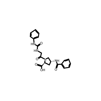 O=C(NCC(=O)N1C[C@H](NC(=O)c2ccccc2)C[C@H]1C(=O)O)Nc1ccccc1